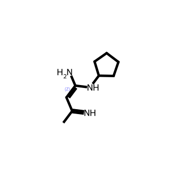 CC(=N)/C=C(/N)NC1CCCC1